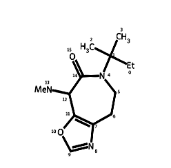 CCC(C)(C)N1CCc2ncoc2C(NC)C1=O